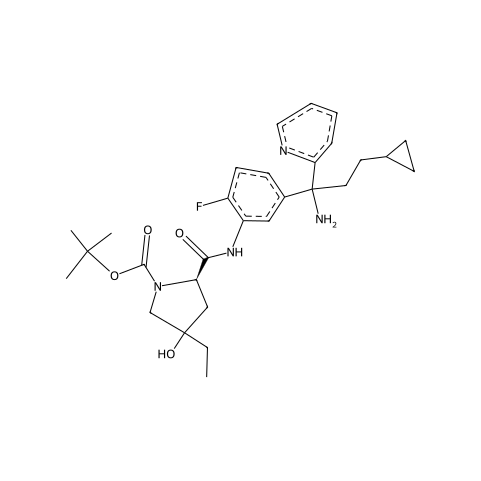 CCC1(O)C[C@H](C(=O)Nc2cc(C(N)(CCC3CC3)c3ccccn3)ccc2F)N(C(=O)OC(C)(C)C)C1